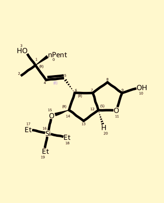 CCCCC[C@@](C)(O)/C=C/[C@@H]1C2CC(O)O[C@H]2C[C@H]1O[Si](CC)(CC)CC